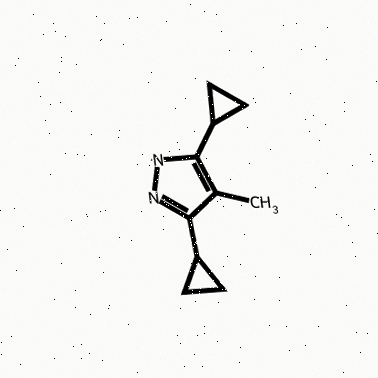 CC1=C(C2CC2)[N]N=C1C1CC1